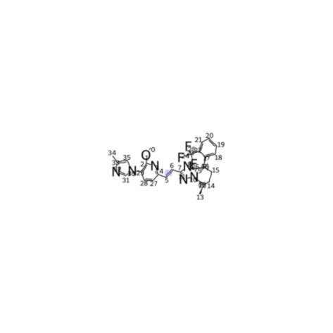 COc1nc(/C=C/c2nc3n(n2)[C@H](C)CC[C@@H]3c2ccccc2C(F)(F)F)ccc1-n1cnc(C)c1